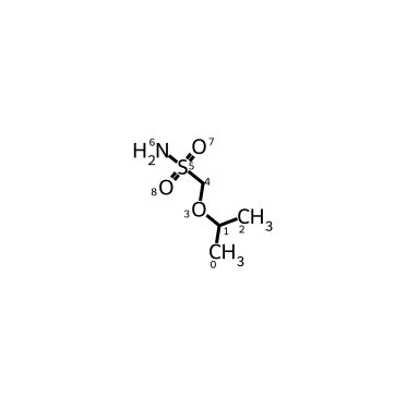 CC(C)OCS(N)(=O)=O